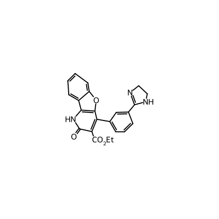 CCOC(=O)c1c(-c2cccc(C3=NCCN3)c2)c2oc3ccccc3c2[nH]c1=O